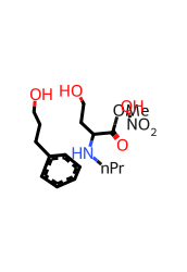 CCCNC(CCO)C(=O)OC.O=[N+]([O-])O.OCCCc1ccccc1